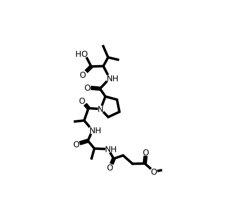 COC(=O)CCC(=O)NC(C)C(=O)NC(C)C(=O)N1CCCC1C(=O)NC(C(=O)O)C(C)C